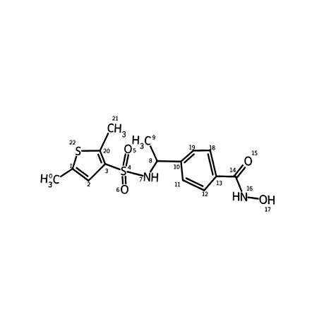 Cc1cc(S(=O)(=O)NC(C)c2ccc(C(=O)NO)cc2)c(C)s1